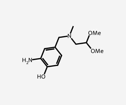 COC(CN(C)Cc1ccc(O)c(N)c1)OC